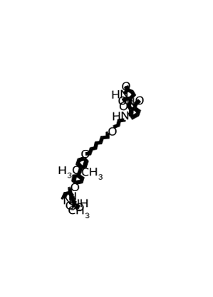 CC(C)(c1ccc(OCCCCCCCCOCCCCNc2cccc3c2C(=O)N(C2CCC(=O)NC2=O)C3=O)cc1)c1ccc(OCc2ccnc(NS(C)(=O)=O)n2)cc1